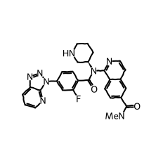 CNC(=O)c1ccc2c(N(C(=O)c3ccc(-n4nnc5cccnc54)cc3F)[C@@H]3CCCNC3)nccc2c1